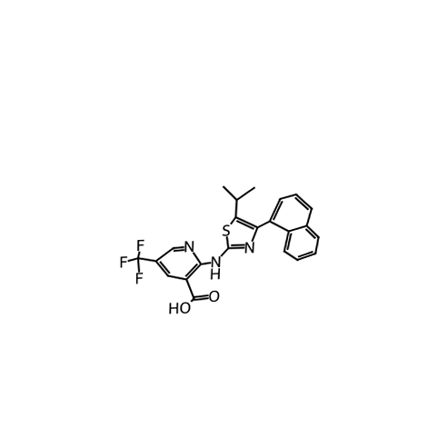 CC(C)c1sc(Nc2ncc(C(F)(F)F)cc2C(=O)O)nc1-c1cccc2ccccc12